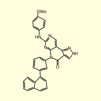 COc1ccc(Nc2ncc3c4n[nH]cc4c(=O)n(-c4cccc(-c5cccc6ccccc56)c4)c3n2)cc1